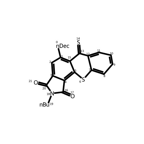 CCCCCCCCCCc1cc2c(c3sc4ccccc4c(=S)c13)C(=O)N(CCCC)C2=O